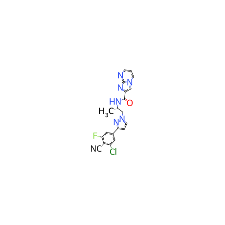 C[C@@H](Cn1ccc(-c2cc(F)c(C#N)c(Cl)c2)n1)NC(=O)c1cn2cccnc2n1